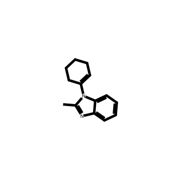 Cc1nc2ccccc2n1C1=CCCCC1